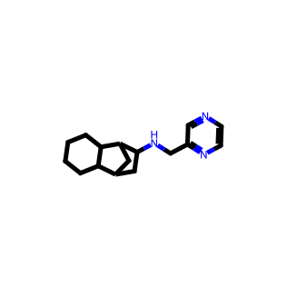 c1cnc(CNC2CC3CC2C2CCCCC32)cn1